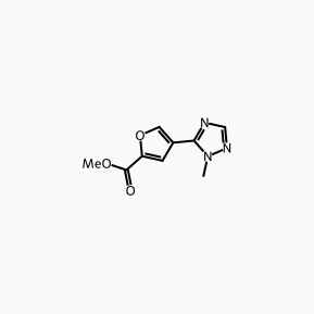 COC(=O)c1cc(-c2ncnn2C)co1